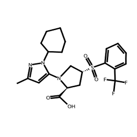 Cc1cc(N2C[C@H](S(=O)(=O)c3ccccc3C(F)(F)F)C[C@H]2C(=O)O)n(C2CCCCC2)n1